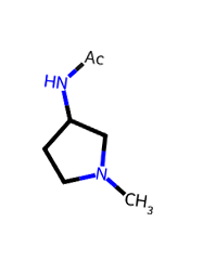 CC(=O)NC1CCN(C)C1